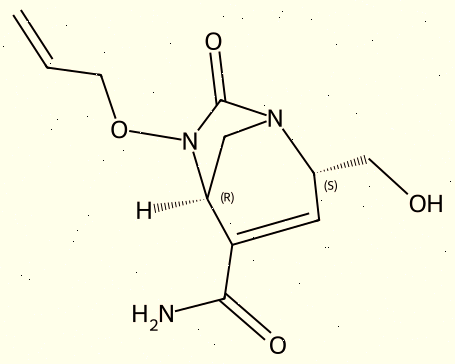 C=CCON1C(=O)N2C[C@H]1C(C(N)=O)=C[C@H]2CO